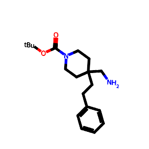 CC(C)(C)OC(=O)N1CCC(CN)(CCc2ccccc2)CC1